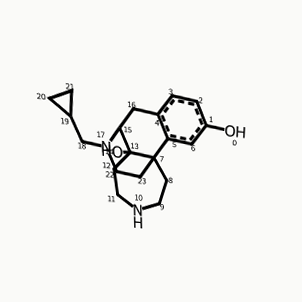 Oc1ccc2c(c1)C13CCNCCC1(O)C(C2)N(CC1CC1)CC3